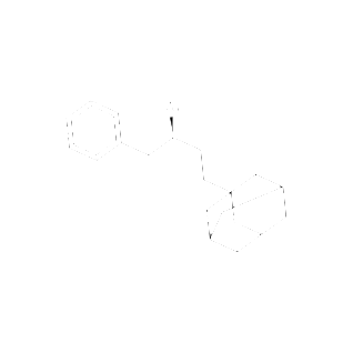 CC(=O)[C@@H](CCC12CC3CC(CC(C3)C1)C2)Cc1ccccc1